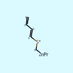 C=CC=CSCCCC